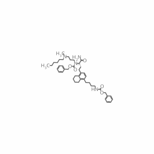 CCCCCCN(C)CCCN(C(=O)OCc1ccccc1)[C@@H](CCc1ccc(CCCCNC(=O)OCc2ccccc2)c2c1CCCC2)C(N)=O